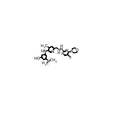 Cc1cc(CNNc2ncc(F)c(N3CCOCC3)n2)ncc1Nc1cc(O)cc(N(C)C)c1